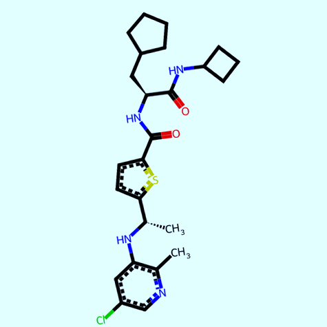 Cc1ncc(Cl)cc1N[C@@H](C)c1ccc(C(=O)N[C@@H](CC2CCCC2)C(=O)NC2CCC2)s1